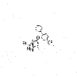 CCc1nnc2c(C)cc(OC3CC(C(F)(F)F)=CC=C3C3=CC=CCC3)nn12